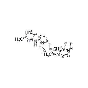 C=C/C=C(\C=N)NC(=C)N1CCC(C(C)(C)SC2=CC3CC=NN3C=C2)CC1